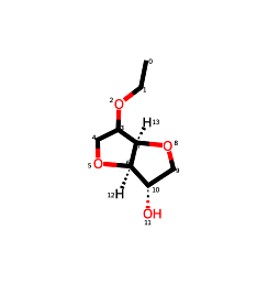 CCOC1CO[C@H]2[C@@H]1OC[C@@H]2O